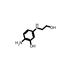 Nc1ccc(NCCO)cc1O